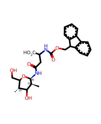 C[C@@H]1C(CO)O[C@@H](NC(=O)CC(NC(=O)OCC2c3ccccc3-c3ccccc32)C(=O)O)[C@@H](C)C1O